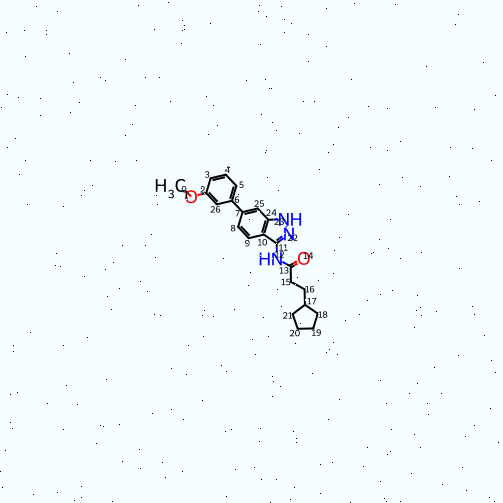 COc1cccc(-c2ccc3c(NC(=O)CCC4CCCC4)n[nH]c3c2)c1